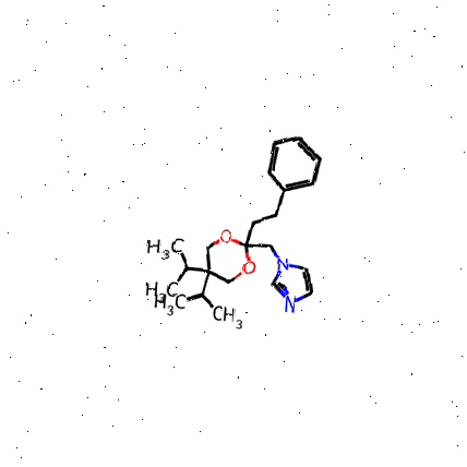 CC(C)C1(C(C)C)COC(CCc2ccccc2)(Cn2ccnc2)OC1